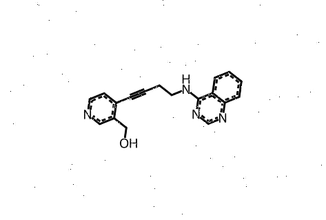 OCc1cnccc1C#CCCNc1ncnc2ccccc12